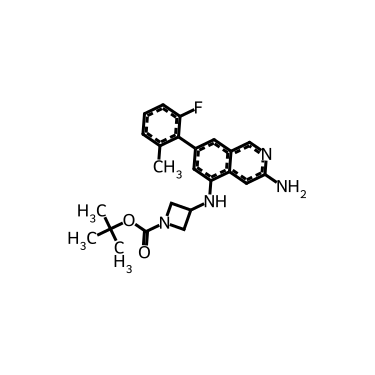 Cc1cccc(F)c1-c1cc(NC2CN(C(=O)OC(C)(C)C)C2)c2cc(N)ncc2c1